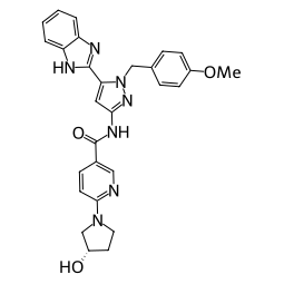 COc1ccc(Cn2nc(NC(=O)c3ccc(N4CC[C@H](O)C4)nc3)cc2-c2nc3ccccc3[nH]2)cc1